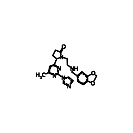 Cc1cc(C2CCC(=O)N2CCNCc2ccc3c(c2)OCO3)nc(-n2ccnc2)n1